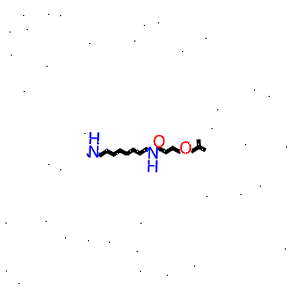 CNCCCCCCCCNC(=O)CCCOCC(C)C